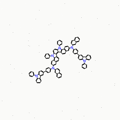 c1ccc(-n2c3ccccc3c3cc(-c4ccc(N(c5ccc6ccccc6c5)c5ccc6c(ccc7c8c9c%10ccc%11cc(N(c%12ccc(-c%13ccc%14c(c%13)c%13ccccc%13n%14-c%13ccccc%13)cc%12)c%12ccc%13ccccc%13c%12)ccc%11c%10n(-c%10ccccc%10)c9ccc8n(-c8ccccc8)c67)c5)cc4)ccc32)cc1